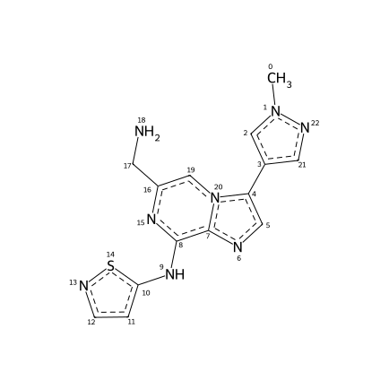 Cn1cc(-c2cnc3c(Nc4ccns4)nc(CN)cn23)cn1